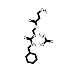 CC(=O)O.CCCC(=O)OCOC(=O)NCC1CCCCC1